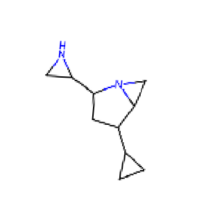 C1CC1C1CC(C2CN2)N2CC12